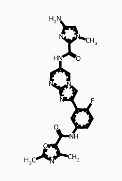 Cc1nc(C)c(C(=O)Nc2ccc(F)c(-c3cn4cc(NC(=O)c5nc(N)cn5C)cnc4n3)c2)o1